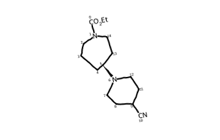 CCOC(=O)N1CCC[C@H](N2CCC(C#N)CC2)CC1